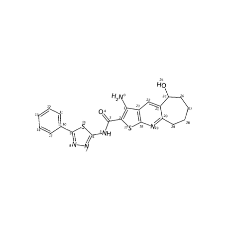 Nc1c(C(=O)Nc2nnc(-c3ccccc3)s2)sc2nc3c(cc12)C(O)CCCC3